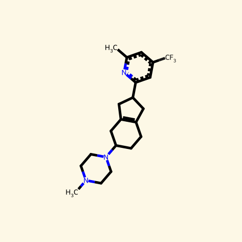 Cc1cc(C(F)(F)F)cc(C2CC3=C(C2)CC(N2CCN(C)CC2)CC3)n1